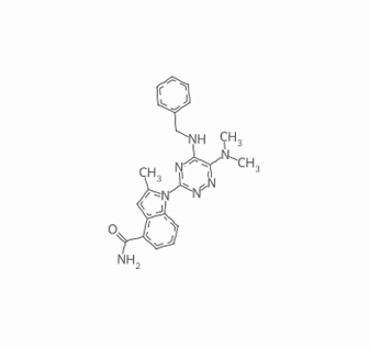 Cc1cc2c(C(N)=O)cccc2n1-c1nnc(N(C)C)c(NCc2ccccc2)n1